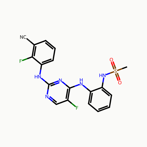 CS(=O)(=O)Nc1ccccc1Nc1nc(Nc2cccc(C#N)c2F)ncc1F